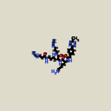 Cc1nnc(-c2ccc(CC(=O)N[C@@H](CCCCN)C(=O)N[C@@H](CCCCNC(=O)CCN=[N+]=[N-])C(=O)NCCCN=[N+]=[N-])cc2)nn1